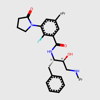 CCCc1cc(C(=O)N[C@@H](Cc2ccccc2)[C@@H](O)CNC(C)C)c(F)c(N2CCCC2=O)c1